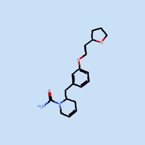 NC(=O)N1CC=CCC1Cc1cccc(OCCC2CCCO2)c1